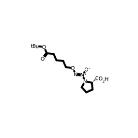 CC(C)(C)OC(=O)CCCCON=[N+]([O-])N1CCC[C@H]1C(=O)O